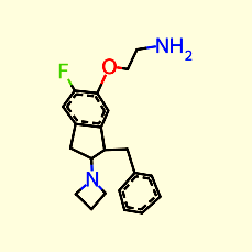 NCCOc1cc2c(cc1F)CC(N1CCC1)C2Cc1ccccc1